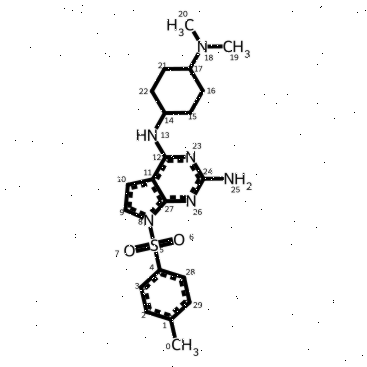 Cc1ccc(S(=O)(=O)n2ccc3c(NC4CCC(N(C)C)CC4)nc(N)nc32)cc1